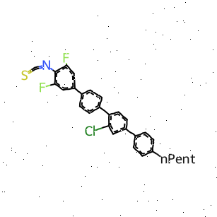 CCCCCc1ccc(-c2ccc(-c3ccc(-c4cc(F)c(N=C=S)c(F)c4)cc3)c(Cl)c2)cc1